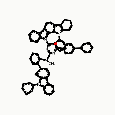 CN(c1nc(-c2ccc(-c3ccccc3)cc2)nc(-n2c3ccccc3c3ccc4c5c(n(-c6ccccc6)c4c32)C=CCC5)n1)c1ccccc1-c1ccc2c3ccccc3n(-c3ccccc3)c2c1